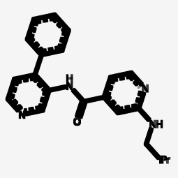 CC(C)CNc1cc(C(=O)Nc2cnccc2-c2ccccc2)ccn1